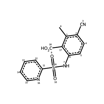 Cc1c(C#N)ccc(NS(=O)(=O)c2ccccn2)c1C(=O)O